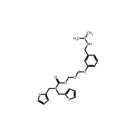 CN(C)NCc1cccc(OCOCOC(=O)N(Cc2cccs2)Cc2cccs2)c1